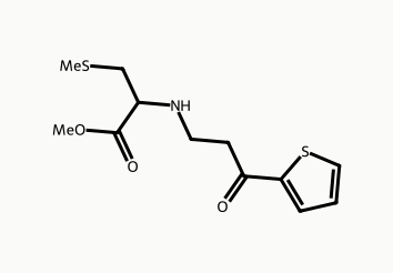 COC(=O)C(CSC)NCCC(=O)c1cccs1